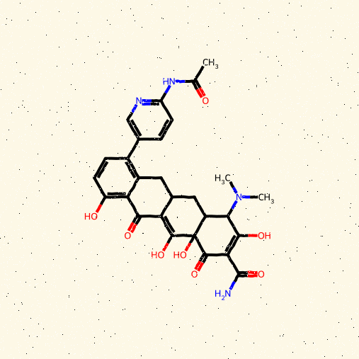 CC(=O)Nc1ccc(-c2ccc(O)c3c2CC2CC4C(N(C)C)C(O)=C(C(N)=O)C(=O)C4(O)C(O)=C2C3=O)cn1